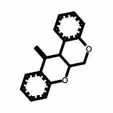 C=C1c2ccccc2OC2COc3ccccc3C12